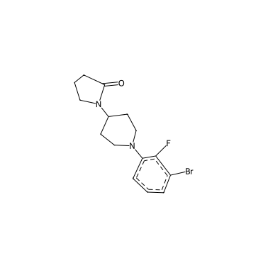 O=C1CCCN1C1CCN(c2cccc(Br)c2F)CC1